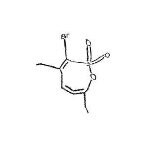 CC1=CC(C)=C(Br)S(=O)(=O)O1